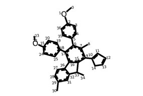 COc1ccc(-c2c(C)c(C3=CC=CC3)c3c(c2-c2ccc(OC)cc2)-c2ccc(C)cc2C3C)cc1